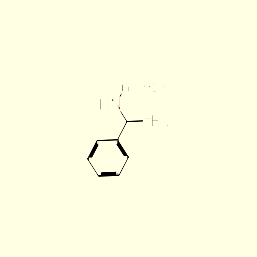 CCCCCCCNC(c1ccccc1)C(C)(C)C